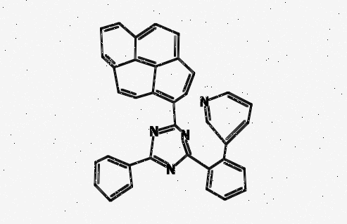 c1ccc(-c2nc(-c3ccccc3-c3cccnc3)nc(-c3ccc4ccc5cccc6ccc3c4c56)n2)cc1